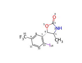 CC1NC(=O)O[C@H]1c1cc(C(F)(F)F)ccc1I